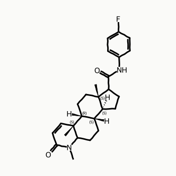 CN1C(=O)C=C[C@@]2(C)C1CC[C@@H]1[C@H]2CC[C@]2(C)C(C(=O)Nc3ccc(F)cc3)CC[C@@H]12